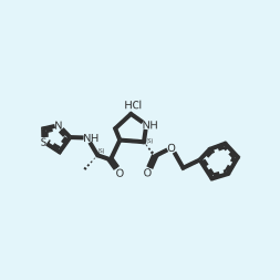 C[C@H](Nc1cscn1)C(=O)C1CCN[C@@H]1C(=O)OCc1ccccc1.Cl